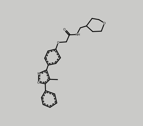 Cc1c(-c2ccc(OCC(=O)NCC3CCOCC3)cc2)noc1-c1ccccc1